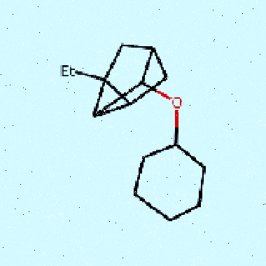 CCC12CC3CC1C2C3OC1CCCCC1